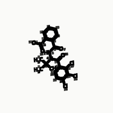 CC(C)(C)N(NC(=O)c1ccccc1[N+](=O)[O-])C(=O)c1ccc(Cl)c(Cl)c1Cl